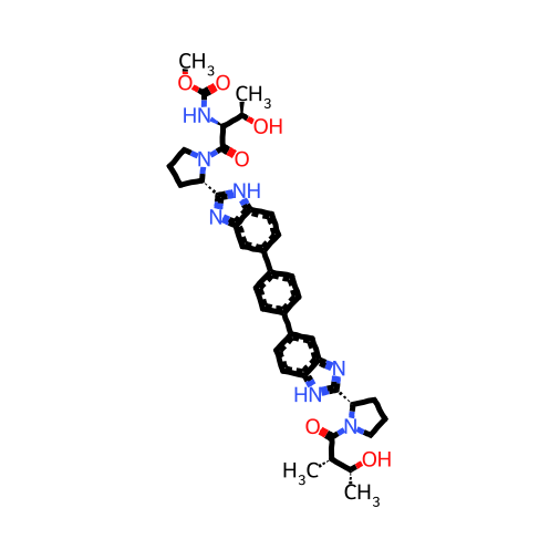 COC(=O)N[C@H](C(=O)N1CCC[C@H]1c1nc2cc(-c3ccc(-c4ccc5[nH]c([C@@H]6CCCN6C(=O)[C@@H](C)[C@@H](C)O)nc5c4)cc3)ccc2[nH]1)[C@@H](C)O